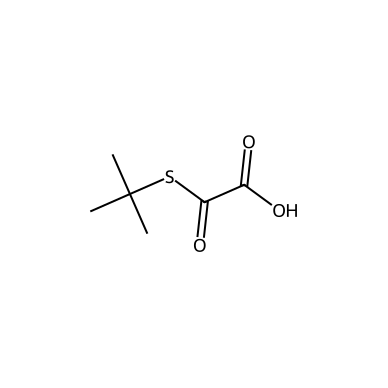 CC(C)(C)SC(=O)C(=O)O